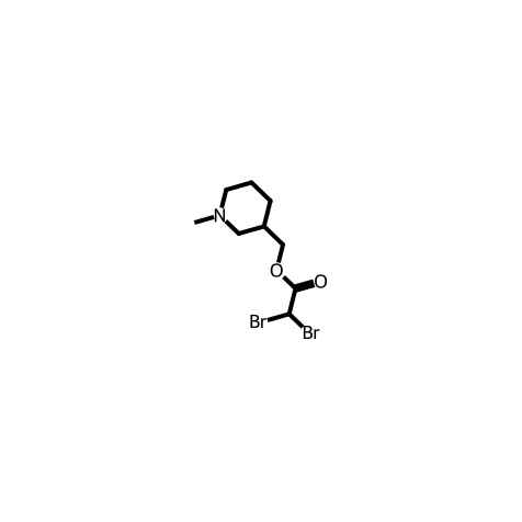 CN1CCCC(COC(=O)C(Br)Br)C1